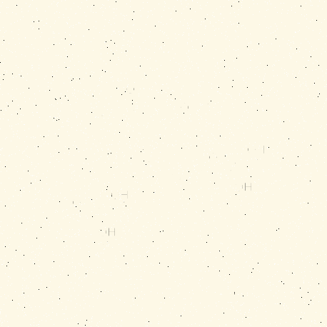 COc1ccc(C)cc1.COc1ccc(C)cc1.O=C(O)O.O=C(O)O